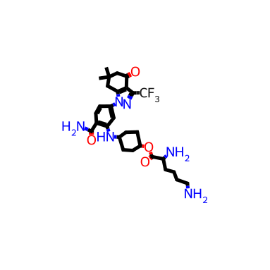 CC1(C)CC(=O)c2c(C(F)(F)F)nn(-c3ccc(C(N)=O)c(NC4CCC(OC(=O)C(N)CCCCN)CC4)c3)c2C1